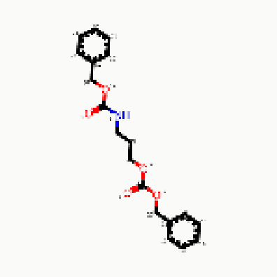 O=C(NCCCOC(=O)OCc1ccccc1)OCc1ccccc1